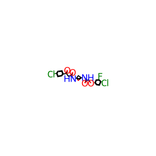 O=C(COc1ccc(Cl)c(F)c1)NC12CC(NC(=O)CC(=O)c3ccc(Cl)cc3)(C1)C2